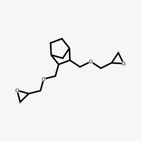 C(OCC1C2CCC(C2)C1COCC1CO1)C1CO1